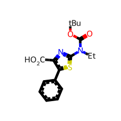 CCN(C(=O)OC(C)(C)C)c1nc(C(=O)O)c(-c2ccccc2)s1